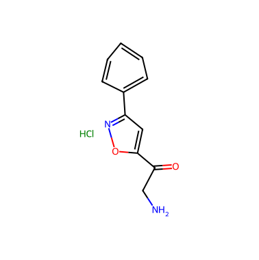 Cl.NCC(=O)c1cc(-c2ccccc2)no1